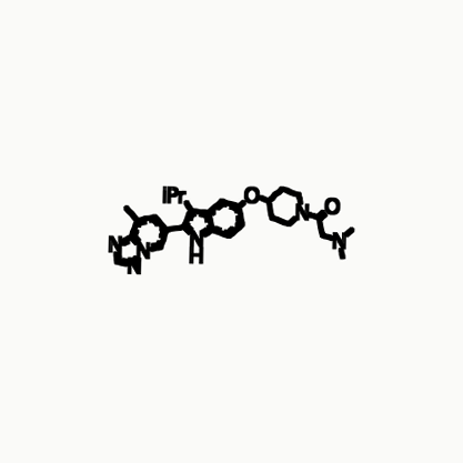 Cc1cc(-c2[nH]c3ccc(OC4CCN(C(=O)CN(C)C)CC4)cc3c2C(C)C)cn2ncnc12